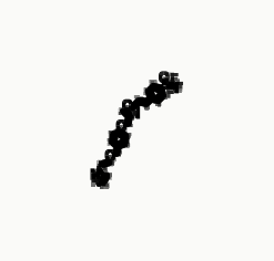 [O-][S+](c1ccc(/C=C/c2nc(COc3ccc(COCCn4ccnn4)cc3)co2)cc1)C(F)(F)F